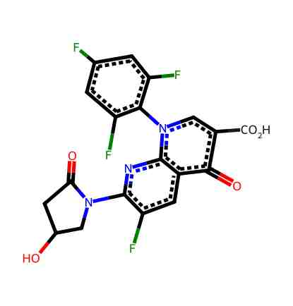 O=C(O)c1cn(-c2c(F)cc(F)cc2F)c2nc(N3CC(O)CC3=O)c(F)cc2c1=O